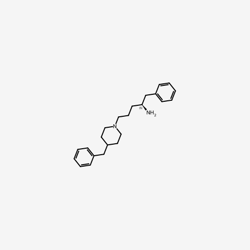 N[C@@H](CCCN1CCC(Cc2ccccc2)CC1)Cc1ccccc1